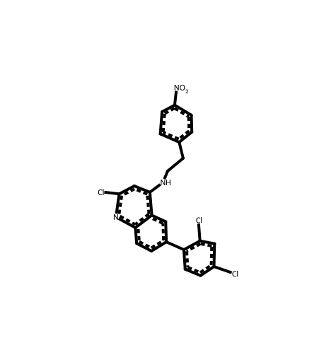 O=[N+]([O-])c1ccc(CCNc2cc(Cl)nc3ccc(-c4ccc(Cl)cc4Cl)cc23)cc1